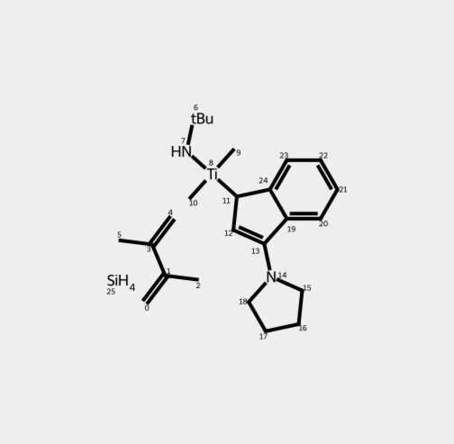 C=C(C)C(=C)C.CC(C)(C)[NH][Ti]([CH3])([CH3])[CH]1C=C(N2CCCC2)c2ccccc21.[SiH4]